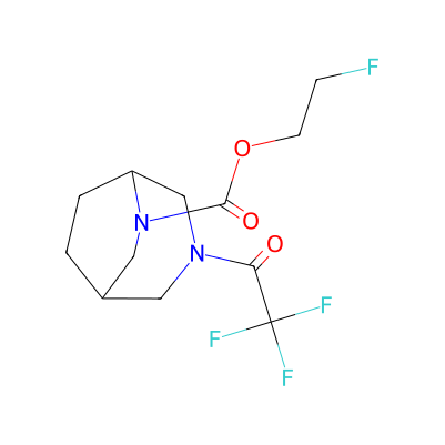 O=C(OCCF)N1CC2CCC1CN(C(=O)C(F)(F)F)C2